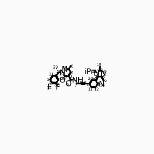 Cc1cc(C(=O)NCC#Cc2ccc3ncc4nc(C)n(C(C)C)c4c3c2)c(=O)n([C@@H](C)c2ccc(F)c(F)c2)n1